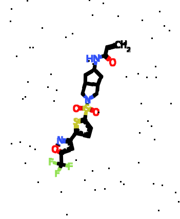 C=CC(=O)NC1CC2CN(S(=O)(=O)c3ccc(-c4cc(C(F)(F)F)on4)s3)CC2C1